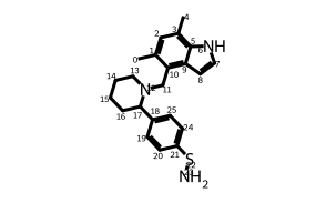 Cc1cc(C)c2[nH]ccc2c1CN1CCCCC1c1ccc(SN)cc1